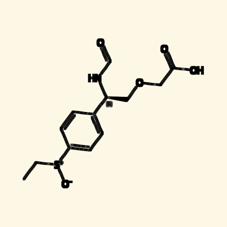 CC[S+]([O-])c1ccc([C@H](COCC(=O)O)NC=O)cc1